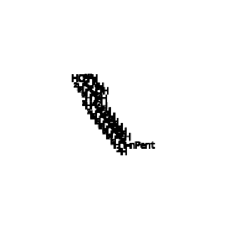 [2H]/C(=C(/[2H])[C@@]([2H])(O)[C@@]([2H])(N([2H])[2H])C([2H])([2H])O)C([2H])([2H])C([2H])([2H])C([2H])([2H])C([2H])([2H])C([2H])([2H])C([2H])([2H])C([2H])([2H])C([2H])CCCCC